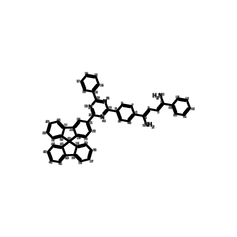 N/C(=C\C=C(/N)c1ccc(-c2nc(-c3ccccc3)nc(-c3ccc4c(c3)-c3ccccc3C43c4ccccc4-c4ccccc43)n2)cc1)c1ccccc1